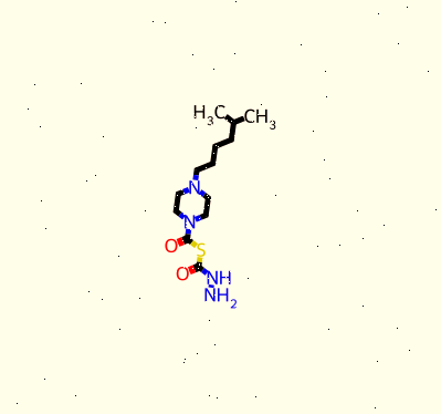 CC(C)CCCCN1CCN(C(=O)SC(=O)NN)CC1